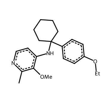 CCOc1ccc(C2(Nc3ccnc(C)c3OC)CCCCC2)cc1